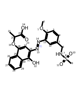 COc1ccc(CNS(C)(=O)=O)cc1/N=N/c1cc(OC(C)C(=O)O)c2ccccc2c1O